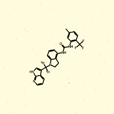 [2H]C([2H])(c1c[nH]c2ncccc12)N1CCc2c(NC(=O)Nc3cc(C)ccc3C(F)(F)F)cccc21